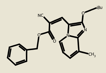 CCC(C)Oc1nc2c(C)cccn2c1/C=C(/C#N)C(=O)OCc1ccccc1